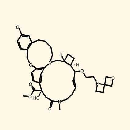 COC(=O)[C@@]1(O)CC(=O)N(C)CC/C=C/[C@H](OCCN2CCC23COC3)[C@@H]2CC[C@H]2CN2CCCCc3cc(Cl)ccc3COc3ccc1cc32